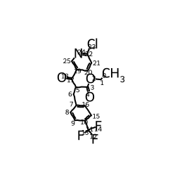 CCOC(=O)C(Cc1ccc(C(F)(F)F)cc1)C(=O)c1ccc(Cl)nc1